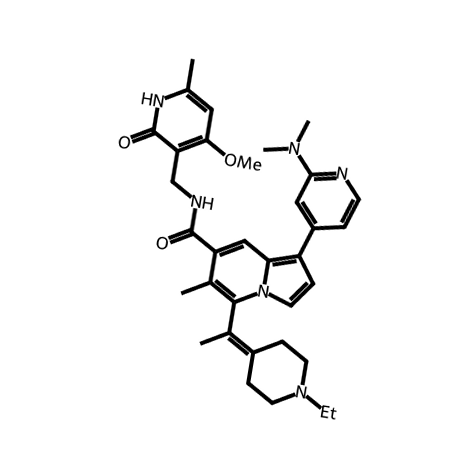 CCN1CCC(=C(C)c2c(C)c(C(=O)NCc3c(OC)cc(C)[nH]c3=O)cc3c(-c4ccnc(N(C)C)c4)ccn23)CC1